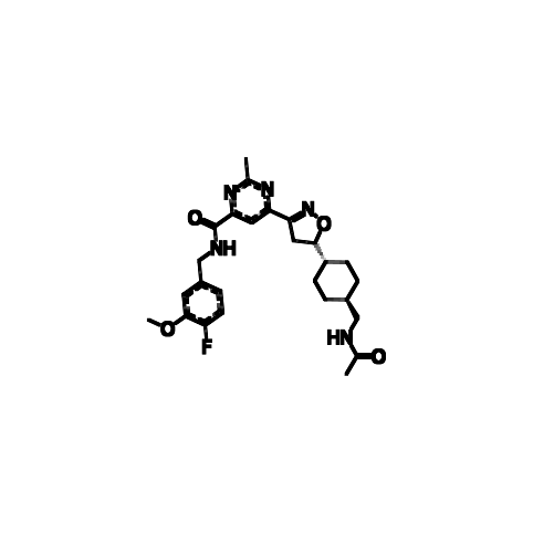 COc1cc(CNC(=O)c2cc(C3=NOC([C@H]4CC[C@H](CNC(C)=O)CC4)C3)nc(C)n2)ccc1F